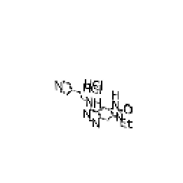 CCn1c(=O)[nH]c2cc3c(NCCc4ccncc4)ncnc3cc21.Cl.Cl